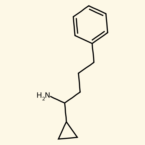 NC(CCCc1ccccc1)C1CC1